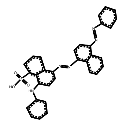 O=S(=O)(O)c1cccc2c(/N=N/c3ccc(/N=N/c4ccccc4)c4ccccc34)ccc(Nc3ccccc3)c12